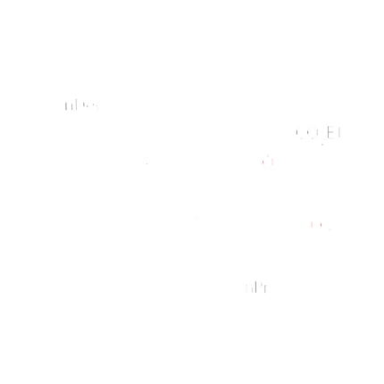 CCCCCCCCCCCCCCC(CCC)C(=O)OC(=O)OCC